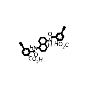 C#Cc1ccc(C(=O)O)c(C(=O)NC2CCCC3C(NC(=O)c4cc(C#C)ccc4C(=O)O)CCCC23)c1